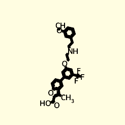 COc1cccc(CCNCCOc2cc(-c3ccc4oc(C(=O)O)c(C)c4c3)cc(C(F)(F)F)c2)c1